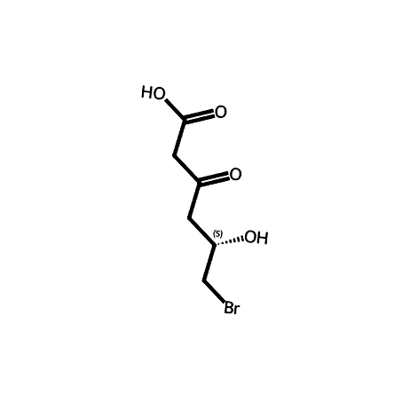 O=C(O)CC(=O)C[C@H](O)CBr